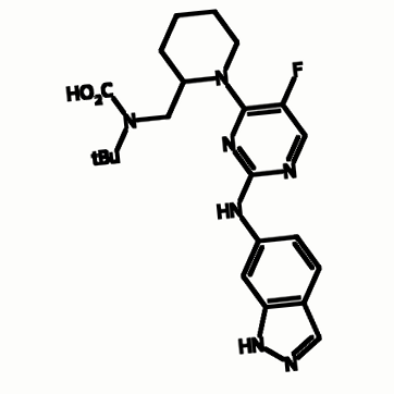 CC(C)(C)N(CC1CCCCN1c1nc(Nc2ccc3cn[nH]c3c2)ncc1F)C(=O)O